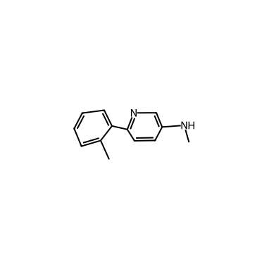 CNc1ccc(-c2ccccc2C)nc1